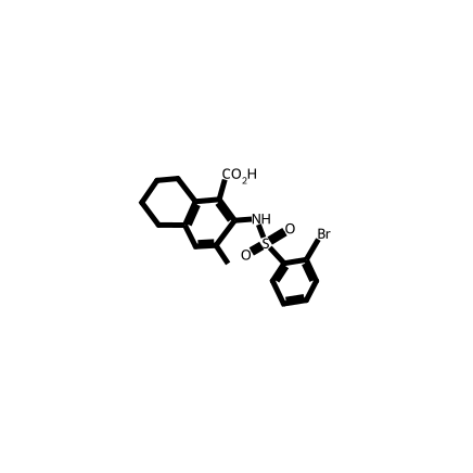 Cc1cc2c(c(C(=O)O)c1NS(=O)(=O)c1ccccc1Br)CCCC2